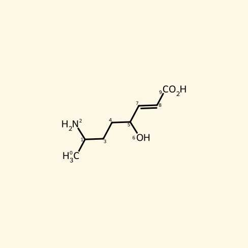 CC(N)CCC(O)/C=C/C(=O)O